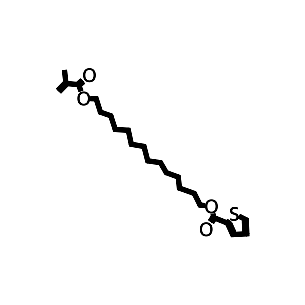 C=C(C)C(=O)OCCCCCCCCCCCCCCOC(=O)c1cccs1